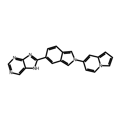 c1cc2cc(-n3cc4ccc(-c5nc6ncncc6[nH]5)cc4c3)ccn2c1